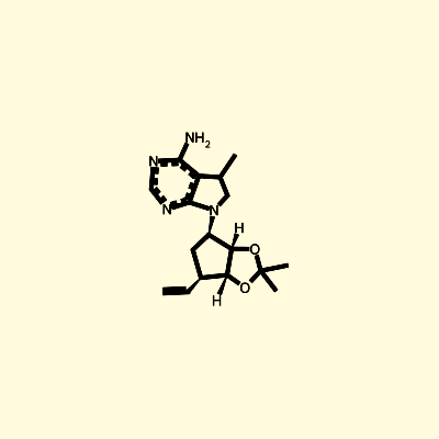 C=C[C@H]1C[C@@H](N2CC(C)c3c(N)ncnc32)[C@@H]2OC(C)(C)O[C@@H]21